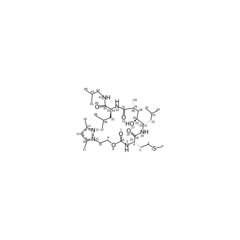 CSCC[C@H](NC(=O)OCCn1nc(C)cc1C)C(=O)N[C@@H](CC(C)C)[C@@H](O)C[C@@H](C)C(=O)N[C@@H](CC(C)C)C(=O)NCC(C)C